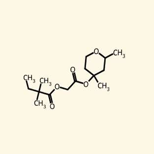 CCC(C)(C)C(=O)OCC(=O)OC1(C)CCOC(C)C1